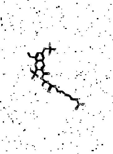 CCc1cc(OC(F)(F)F)cc2c1OC(C(F)(F)F)C(C(=O)OC(C)OC(=O)OCCSCCO[N+](=O)[O-])=C2